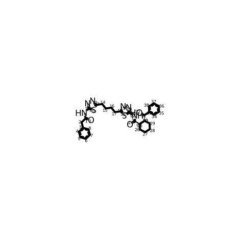 O=C(Cc1ccccc1)Nc1nnc(CCCCc2nnc(NC(=O)[C@@H]3CCCC[C@H]3C(O)c3ccccc3)s2)s1